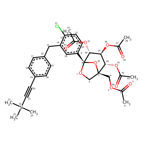 CC(=O)OC[C@@]12CO[C@@](c3ccc(Cl)c(Cc4ccc(C#C[Si](C)(C)C)cc4)c3)(O1)[C@H](OC(C)=O)[C@@H](OC(C)=O)[C@@H]2OC(C)=O